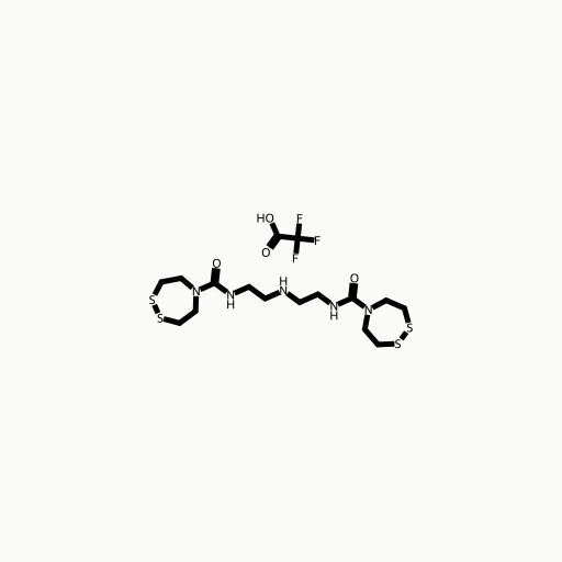 O=C(NCCNCCNC(=O)N1CCSSCC1)N1CCSSCC1.O=C(O)C(F)(F)F